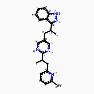 CC(C)c1cccc(CC(C)c2ncc(CC(C)c3n[nH]c4ccccc34)cn2)n1